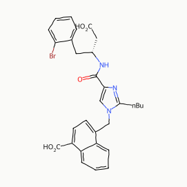 CCCCc1nc(C(=O)N[C@@H](CC(=O)O)Cc2ccccc2Br)cn1Cc1ccc(C(=O)O)c2ccccc12